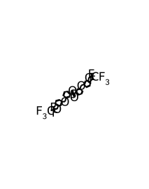 O=S(=O)(c1cccc(Oc2cccc(OC(F)(F)C(F)(F)F)c2)c1)c1cccc(Oc2cccc(OC(F)(F)C(F)(F)F)c2)c1